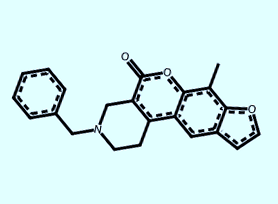 Cc1c2occc2cc2c3c(c(=O)oc12)CN(Cc1ccccc1)CC3